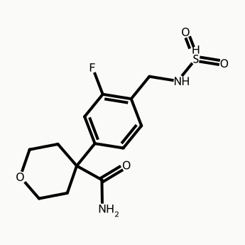 NC(=O)C1(c2ccc(CN[SH](=O)=O)c(F)c2)CCOCC1